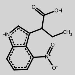 CCC(C(=O)O)c1c[nH]c2cccc([N+](=O)[O-])c12